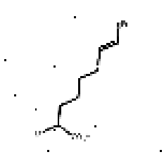 CCCC=CCCCCC(CC)C(=O)O